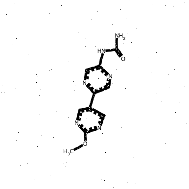 COc1ncc(-c2cnc(NC(N)=O)cn2)cn1